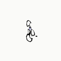 COC1(/N=N/C2CCCCCC2)CCCCCC1